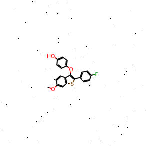 COc1ccc2c(Oc3ccc(O)cc3)c(-c3ccc(F)cc3)sc2c1